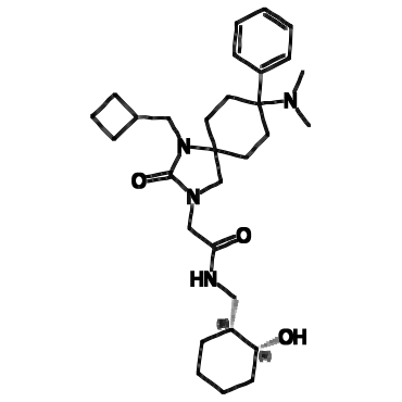 CN(C)C1(c2ccccc2)CCC2(CC1)CN(CC(=O)NC[C@H]1CCCC[C@H]1O)C(=O)N2CC1CCC1